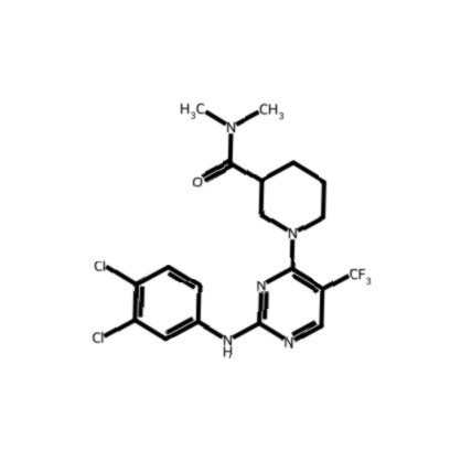 CN(C)C(=O)C1CCCN(c2nc(Nc3ccc(Cl)c(Cl)c3)ncc2C(F)(F)F)C1